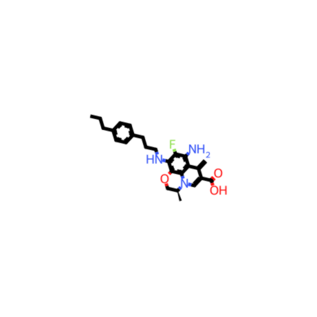 C=C1C(C(=O)O)=CN2c3c(c(NCCCc4ccc(CCC)cc4)c(F)c(N)c31)OC[C@@H]2C